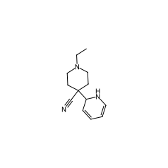 CCN1CCC(C#N)(C2C=CC=CN2)CC1